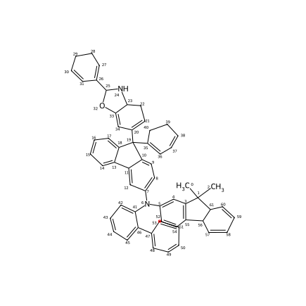 CC1(C)c2cc(N(c3ccc4c(c3)-c3ccccc3C4(C3=CCC4NC(C5=CCCC=C5)OC4=C3)C3=CC=CCC3)c3ccccc3-c3ccccc3)ccc2C2C=CC=CC21